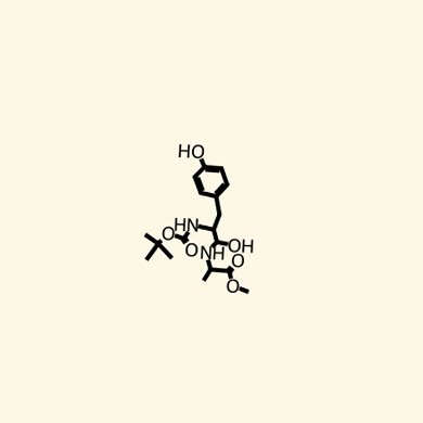 COC(=O)C(C)NC(O)C(Cc1ccc(O)cc1)NC(=O)OC(C)(C)C